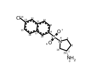 N[C@H]1CCN(S(=O)(=O)c2ccc3cc(Cl)ccc3c2)C1